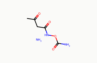 CC(=O)CC(=O)NOC(N)=O.N